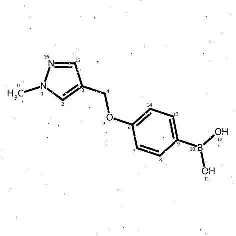 Cn1cc(COc2ccc(B(O)O)cc2)cn1